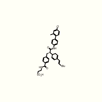 Cc1cc(Cl)ccc1-c1ccc(NC(=O)[C@H](Cc2ccc(C(=O)NCCS(=O)(=O)O)cc2)C2C=CC(/C=C/C(C)(C)C)=CC2)cc1